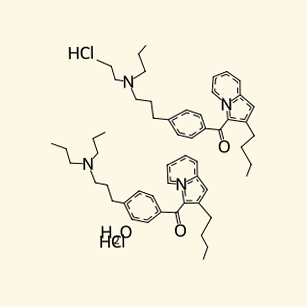 CCCCc1cc2ccccn2c1C(=O)c1ccc(CCCN(CCC)CCC)cc1.CCCCc1cc2ccccn2c1C(=O)c1ccc(CCCN(CCC)CCC)cc1.Cl.Cl.O